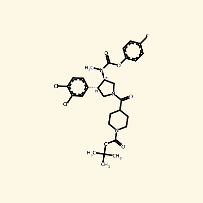 CN(C(=O)Oc1ccc(F)cc1)[C@H]1CN(C(=O)C2CCN(C(=O)OC(C)(C)C)CC2)C[C@@H]1c1ccc(Cl)c(Cl)c1